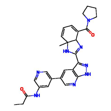 CCC(=O)Nc1cncc(-c2cnc3[nH]nc(C4=NC5C(C(=O)N6CCCC6)=CC=CC5(C)N4)c3c2)c1